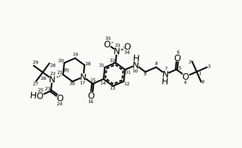 CC(C)(C)OC(=O)NCCNc1ccc(C(=O)N2CCC[C@@H](N(C(=O)O)C(C)(C)C)C2)cc1[N+](=O)[O-]